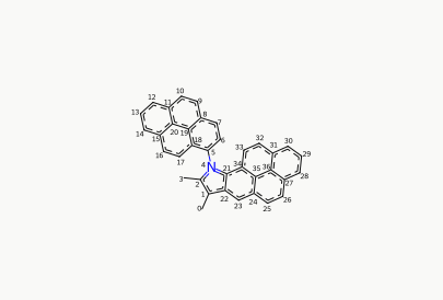 Cc1c(C)n(-c2ccc3ccc4cccc5ccc2c3c45)c2c1cc1ccc3cccc4ccc2c1c34